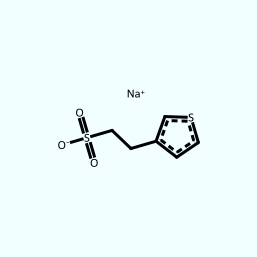 O=S(=O)([O-])CCc1ccsc1.[Na+]